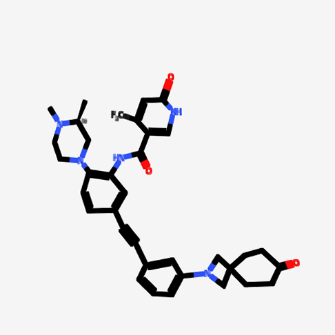 C[C@H]1CN(c2ccc(C#Cc3cccc(N4CC5(CCC(=O)CC5)C4)c3)cc2NC(=O)c2c[nH]c(=O)cc2C(F)(F)F)CCN1C